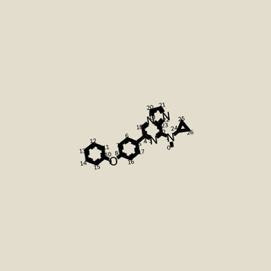 CN(c1nc(-c2ccc(Oc3ccccc3)cc2)cn2ccnc12)C1CC1